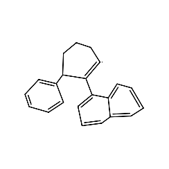 [C]1=C(c2cccc3ccccc23)C(c2ccccc2)CCC1